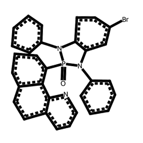 O=P1(c2cccc3ccc4cccnc4c23)N(c2ccccc2)c2ccc(Br)cc2N1c1ccccc1